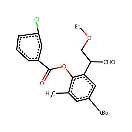 CCOCC(C=O)c1cc(C(C)(C)C)cc(C)c1OC(=O)c1cccc(Cl)c1